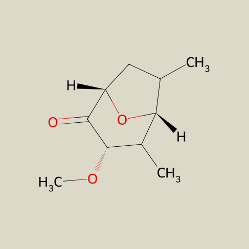 CO[C@@H]1C(=O)[C@@H]2CC(C)[C@@H](O2)C1C